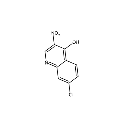 O=[N+]([O-])c1cnc2cc(Cl)ccc2c1O